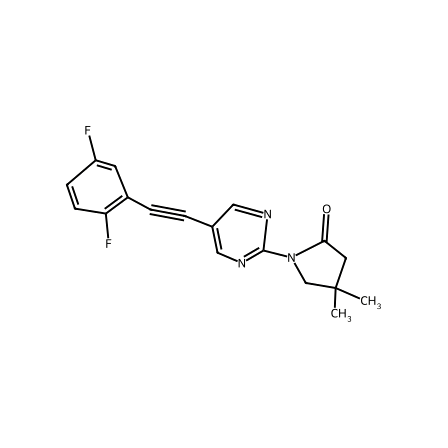 CC1(C)CC(=O)N(c2ncc(C#Cc3cc(F)ccc3F)cn2)C1